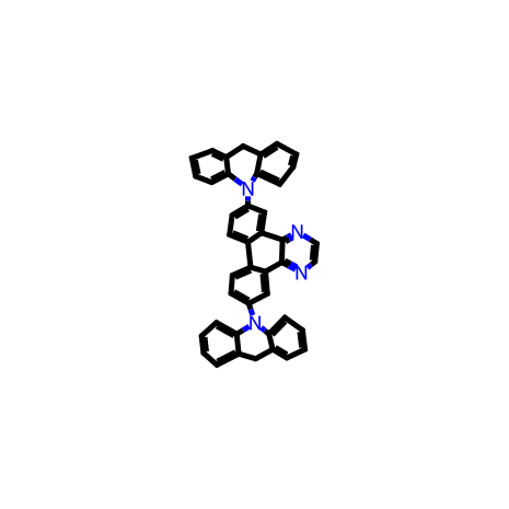 c1ccc2c(c1)Cc1ccccc1N2c1ccc2c3ccc(N4c5ccccc5Cc5ccccc54)cc3c3nccnc3c2c1